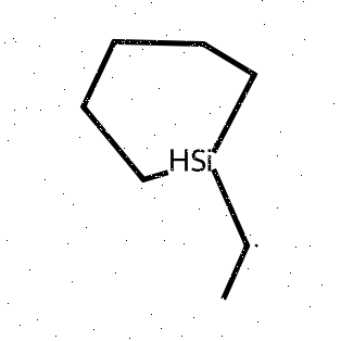 C[CH][SiH]1CCCCC1